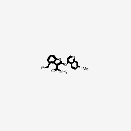 COc1ccc2c(Oc3sc4cccc(CC(C)C)c4c3C(N)=O)ccnc2c1